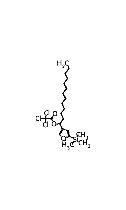 CCCCCCCCCCCCC(OC(=O)C(Cl)(Cl)Cl)c1coc([Si](C)(C)C)c1